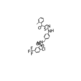 Cc1ccccc1C(=O)c1cnc(Nc2ccc(CNS(=O)(=O)c3cc(C(F)(F)F)ccc3Cl)cc2)s1